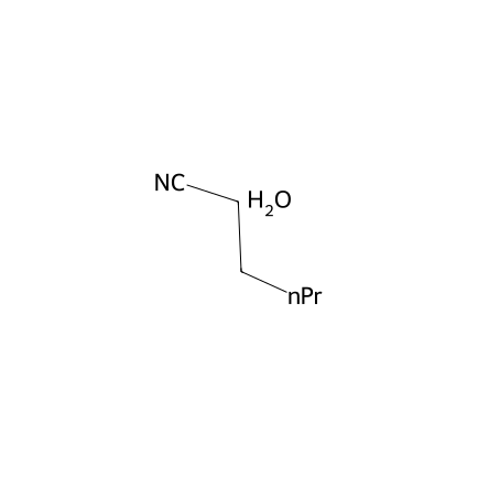 CCCCCC#N.O